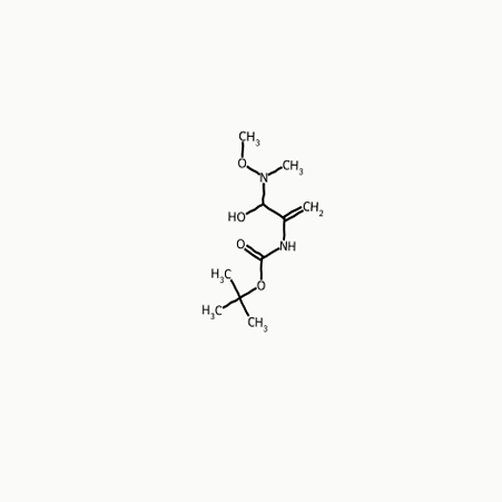 C=C(NC(=O)OC(C)(C)C)C(O)N(C)OC